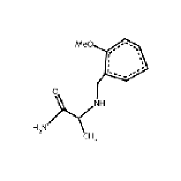 COc1ccccc1CNC(C)C(N)=O